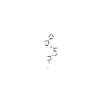 CCNCc1cncc(-c2ccc3[nH]nc(-c4nc5c(-c6cccc(C)c6)cncc5[nH]4)c3n2)c1